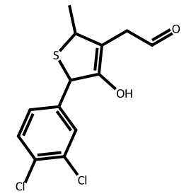 CC1SC(c2ccc(Cl)c(Cl)c2)C(O)=C1CC=O